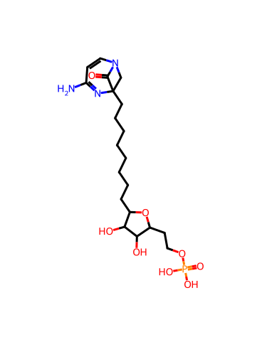 NC1=NC2(CCCCCCCCC3OC(CCOP(=O)(O)O)C(O)C3O)CN(C=C1)C2=O